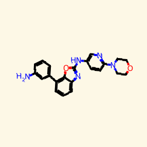 Nc1cccc(-c2cccc3nc(Nc4ccc(N5CCOCC5)nc4)oc23)c1